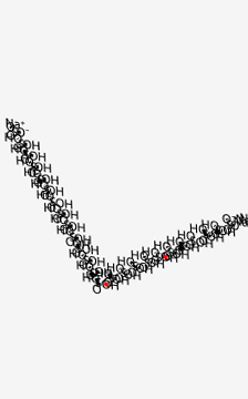 O=S(O)O.O=S(O)O.O=S(O)O.O=S(O)O.O=S(O)O.O=S(O)O.O=S(O)O.O=S(O)O.O=S(O)O.O=S(O)O.O=S(O)O.O=S(O)O.O=S(O)O.O=S(O)O.O=S(O)O.O=S(O)O.O=S(O)O.O=S(O)O.O=S(O)O.O=S(O)O.O=S(O)O.O=S(O)O.O=S(O)O.O=S([O-])[O-].O=S([O-])[O-].[Na+].[Na+].[Na+].[Na+]